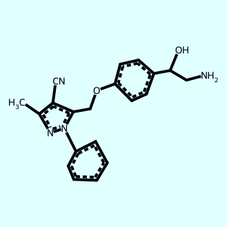 Cc1nn(-c2ccccc2)c(COc2ccc(C(O)CN)cc2)c1C#N